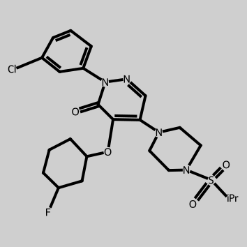 CC(C)S(=O)(=O)N1CCN(c2cnn(-c3cccc(Cl)c3)c(=O)c2OC2CCCC(F)C2)CC1